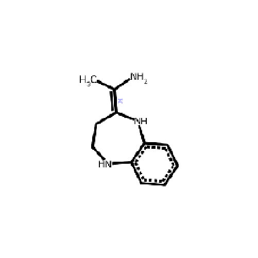 C/C(N)=C1\CCNc2ccccc2N1